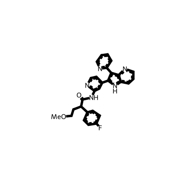 COCCC(C(=O)Nc1cc(-c2[nH]c3cccnc3c2-c2ccccn2)ccn1)c1ccc(F)cc1